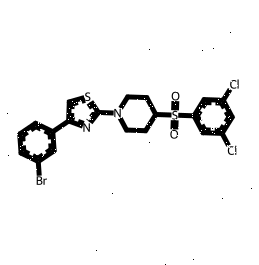 O=S(=O)(c1cc(Cl)cc(Cl)c1)C1CCN(c2nc(-c3cccc(Br)c3)cs2)CC1